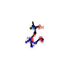 CCCCc1cc(-c2cccs2)n2c1CC1C(CCCS(=O)(=O)O)=CC(/C=C/c3ccc(OCCCC(=O)NC(CCCC[N+](C)(C)C)C(=O)NC(CCCC[N+](C)(C)C)C(=O)NCCN(C)CCCCCC(=O)ON4C(=O)CCC4=O)cc3)=[N+]1[B-]2(F)F